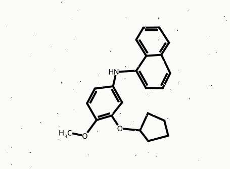 COc1ccc(Nc2cccc3ccccc23)cc1OC1CCCC1